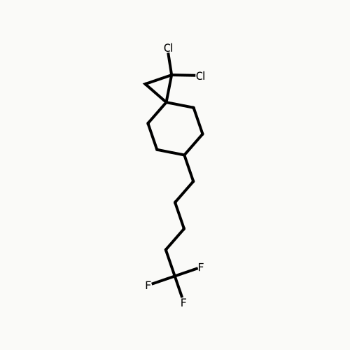 FC(F)(F)CCCCC1CCC2(CC1)CC2(Cl)Cl